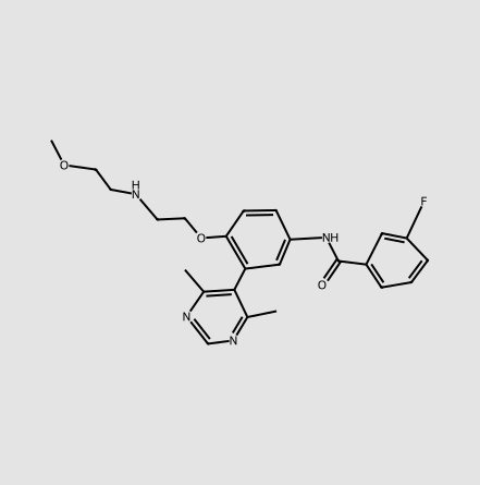 COCCNCCOc1ccc(NC(=O)c2cccc(F)c2)cc1-c1c(C)ncnc1C